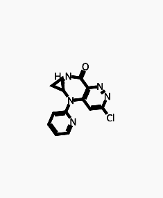 NC(=O)c1nnc(Cl)cc1N(c1ccccn1)C1CC1